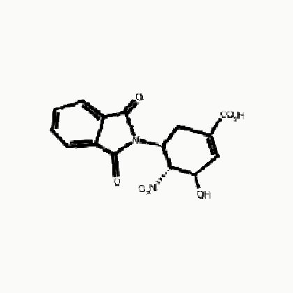 O=C(O)C1=C[C@@H](O)[C@H]([N+](=O)[O-])[C@@H](N2C(=O)c3ccccc3C2=O)C1